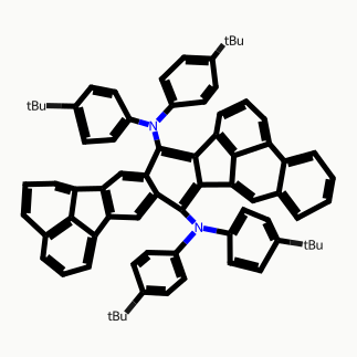 CC(C)(C)c1ccc(N(c2ccc(C(C)(C)C)cc2)c2c3cc4c(cc3c(N(c3ccc(C(C)(C)C)cc3)c3ccc(C(C)(C)C)cc3)c3c5cc6ccccc6c6cccc(c23)c65)c2cccc3cccc4c32)cc1